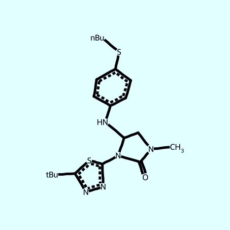 CCCCSc1ccc(NC2CN(C)C(=O)N2c2nnc(C(C)(C)C)s2)cc1